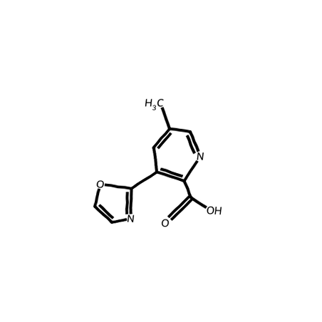 Cc1cnc(C(=O)O)c(-c2ncco2)c1